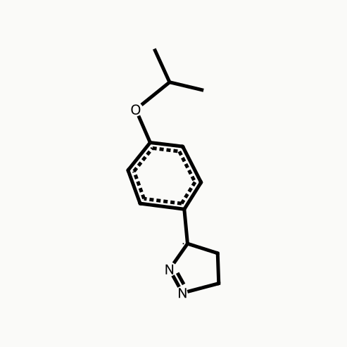 CC(C)Oc1ccc([C]2CCN=N2)cc1